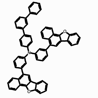 c1ccc(-c2cccc(-c3ccc(N(c4cccc(-c5cc6c7ccccc7oc6c6ccccc56)c4)c4cccc(-c5cc6c7ccccc7oc6c6ccccc56)c4)cc3)c2)cc1